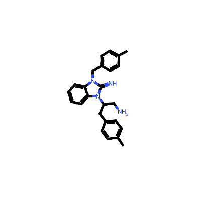 Cc1ccc(CC(CN)n2c(=N)n(Cc3ccc(C)cc3)c3ccccc32)cc1